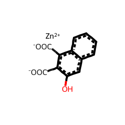 O=C([O-])c1c(O)cc2ccccc2c1C(=O)[O-].[Zn+2]